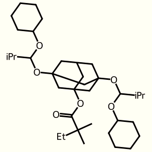 CCC(C)(C)C(=O)OC12CC3CC(OC(OC4CCCCC4)C(C)C)(C1)CC(OC(OC1CCCCC1)C(C)C)(C3)C2